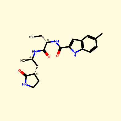 Cc1ccc2[nH]c(C(=O)N[C@@H](CC(C)(C)C)C(=O)N[C@H](C#N)C[C@@H]3CCNC3=O)cc2c1